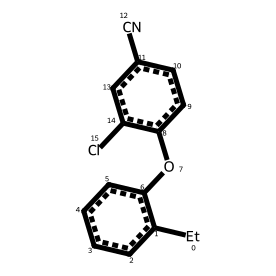 CCc1ccccc1Oc1ccc(C#N)cc1Cl